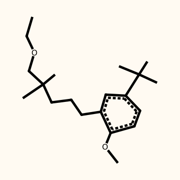 CCOCC(C)(C)CCCc1cc(C(C)(C)C)ccc1OC